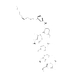 CCCCCC/C=C\CCCOc1cccc(C(=O)N[C@@H]2C(O[C@H]3C(O)C(NC(C)=O)C(OC4C(CO)O[C@@H](O[C@H]5C(O)C(NC(C)=O)C(OC6C(CO)OC(O)[C@@H](NC(C)=O)[C@H]6O)O[C@H]5CO)[C@@H](NC(C)=O)[C@H]4O)O[C@H]3CO)OC(CO)[C@@H](O)[C@@H]2O)c1